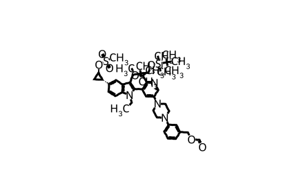 CCn1c(-c2cc(N3CCN(c4cccc(COC=O)c4)CC3)cnc2C(C)OC)c(CC(C)(C)CO[Si](C)(C)C(C)(C)C)c2cc([C@@H]3C[C@H]3OS(C)(=O)=O)ccc21